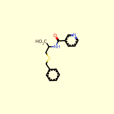 O=C(NC(CSCc1ccccc1)C(=O)O)c1cccnc1